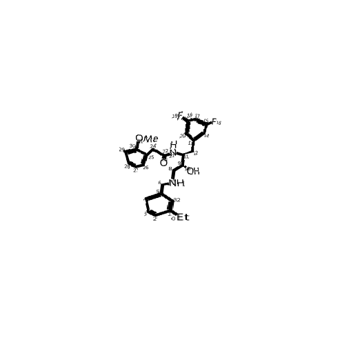 CCc1cccc(CNC[C@H](O)[C@H](Cc2cc(F)cc(F)c2)NC(=O)Cc2ccccc2OC)c1